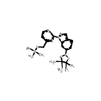 CC1(C)OB(c2ccc3cnn(-c4nccc(CO[Si](C)(C)C(C)(C)C)n4)c3c2)OC1(C)C